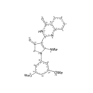 CNC1=C(c2nc3ccccc3c(=O)[nH]2)C(=O)CN1c1cc(OC)cc(OC)c1